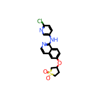 O=S1(=O)CCC(Oc2ccc3c(Nc4ccc(Cl)nc4)nccc3c2)C1